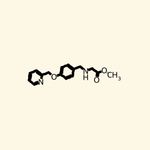 COC(=O)CNCc1ccc(OCc2ccccn2)cc1